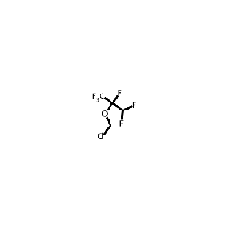 FC(F)C(F)(OCCl)C(F)(F)F